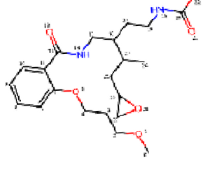 COCCCOc1ccccc1C(=O)NCC(CCNC(=O)O)C(C)CC1CO1